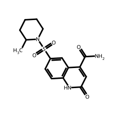 CC1CCCCN1S(=O)(=O)c1ccc2[nH]c(=O)cc(C(N)=O)c2c1